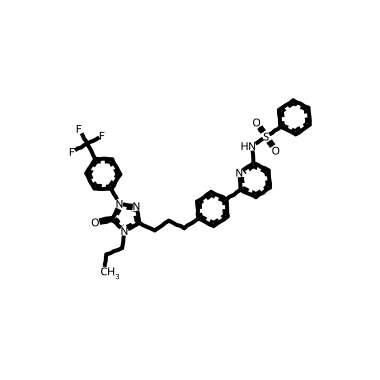 CCCn1c(CCCc2ccc(-c3cccc(NS(=O)(=O)c4ccccc4)n3)cc2)nn(-c2ccc(C(F)(F)F)cc2)c1=O